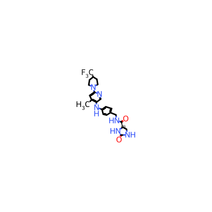 Cc1cc(N2CCC(C(F)(F)F)CC2)ncc1Nc1ccc(CNC(=O)[C@H]2CNC(=O)N2)cc1